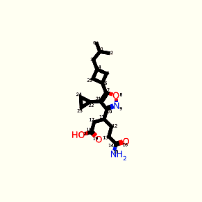 CC(C)CC1CC(c2onc(C(CCC(N)=O)CC(=O)O)c2C2CC2)C1